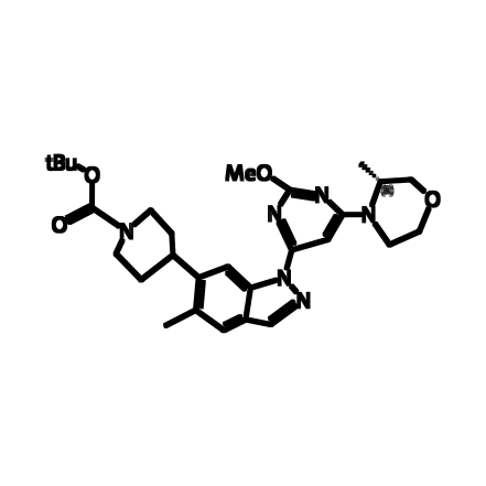 COc1nc(N2CCOC[C@H]2C)cc(-n2ncc3cc(C)c(C4CCN(C(=O)OC(C)(C)C)CC4)cc32)n1